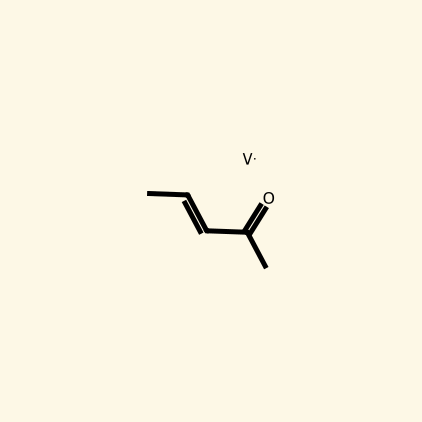 CC=CC(C)=O.[V]